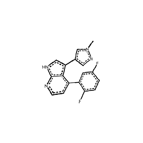 Cn1cc(-c2c[nH]c3nccc(-c4cc(F)ccc4F)c23)cn1